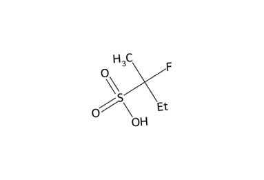 CCC(C)(F)S(=O)(=O)O